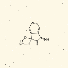 CCCOC1(OCC)NC(=N)c2ccccc21